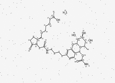 CC1OC(Oc2cc(CCCCNC(=O)CN3C(=O)CC[C@H]3COCCOSN(C)O)ccc2COC(N)=O)[C@H](O)[C@@H](O)[C@@H]1O.S